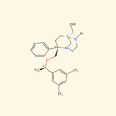 CC(=O)OC[C@]12CC[C@@](CO[C@H](C)c3cc(C(F)(F)F)cc(C(F)(F)F)c3)(c3ccccc3)N(CCN1C(C)=O)C2